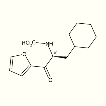 O=C(O)N[C@@H](CC1CCCCC1)C(=O)c1ccco1